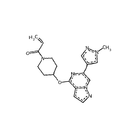 C=CC(=O)N1CCC(Oc2nc(-c3cnn(C)c3)cn3nccc23)CC1